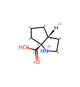 O=C(O)[C@@]12CCC[C@@H]1CCN2